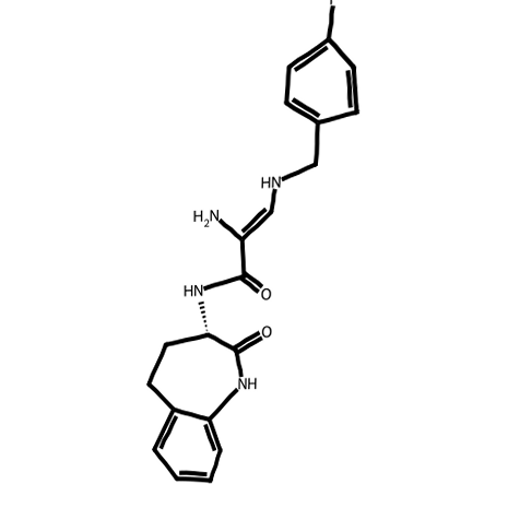 N/C(=C\NCc1ccc(F)cc1)C(=O)N[C@H]1CCc2ccccc2NC1=O